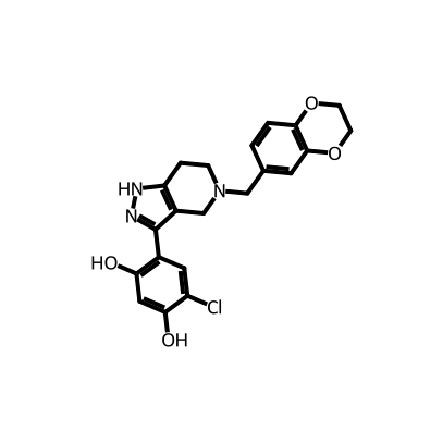 Oc1cc(O)c(-c2n[nH]c3c2CN(Cc2ccc4c(c2)OCCO4)CC3)cc1Cl